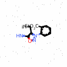 CCOC(=O)c1ccccc1-[n+]1noc([NH-])c1CC(C)C